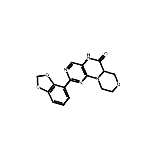 O=C1Nc2cnc(-c3cccc4c3OCO4)nc2N2CCOCC12